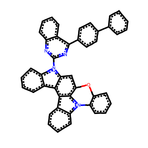 c1ccc(-c2ccc(-c3nc(-n4c5ccccc5c5c6c7ccccc7n7c6c(cc54)Oc4ccccc4-7)nc4ccccc34)cc2)cc1